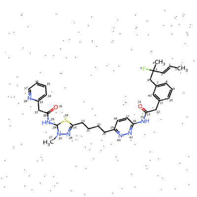 C/C=C/C(C)(F)Cc1cccc(CC(=O)Nc2ccc(CCCCC3=NN(C)C(NC(=O)Cc4ccccn4)S3)nn2)c1